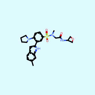 Cc1ccc2cc(-c3cc(S(=O)(=O)N(C)CC(=O)NC4COC4)ccc3N3CCCC3)[nH]c2c1